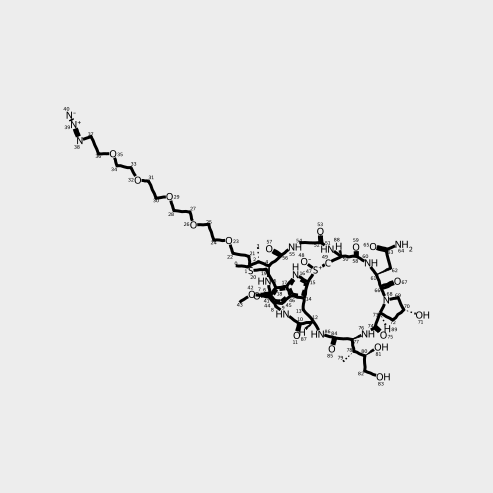 CC[C@H](C)[C@@H]1NC(=O)CNC(=O)[C@@H]2Cc3c([nH]c4c(CSCCOCCOCCOCCOCCOCCN=[N+]=[N-])c(OC)ccc34)[S+]([O-])C[C@H](NC(=O)CNC1=O)C(=O)N[C@@H](CC(N)=O)C(=O)N1C[C@H](O)C[C@H]1C(=O)N[C@@H]([C@@H](C)[C@@H](O)CO)C(=O)N2